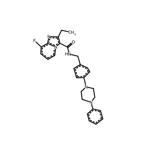 CCc1nc2c(F)cccn2c1C(=O)NCc1ccc(N2CCN(c3ccccc3)CC2)cc1